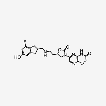 O=C1COc2ncc(N3CC(CCNCC4Cc5cc(O)cc(F)c5C4)OC3=O)nc2N1